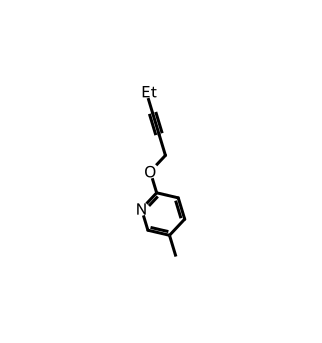 CCC#CCOc1ccc(C)cn1